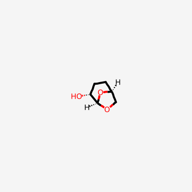 O[C@@H]1CC[C@H]2CO[C@@H]1O2